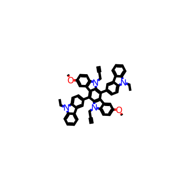 C#CCn1c2ccc(OC)cc2c2c(-c3ccc4c(c3)c3ccccc3n4CC)c3c(c(-c4ccc5c(c4)c4ccccc4n5CC)c21)c1cc(OC)ccc1n3CC#C